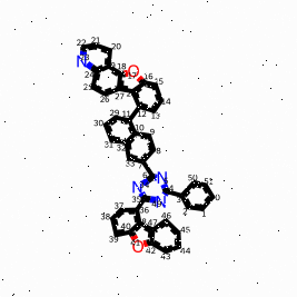 c1ccc(-c2nc(-c3ccc4c(-c5cccc6oc7c8cccnc8ccc7c56)cccc4c3)nc(-c3cccc4oc5ccccc5c34)n2)cc1